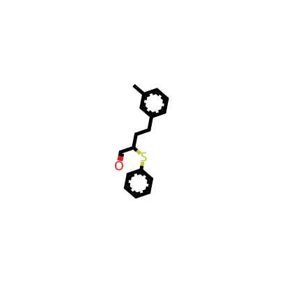 Cc1cccc(CCC(C=O)Sc2ccccc2)c1